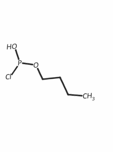 CCCCOP(O)Cl